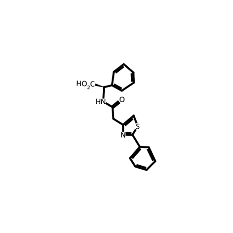 O=C(Cc1csc(-c2ccccc2)n1)N[C@@H](C(=O)O)c1ccccc1